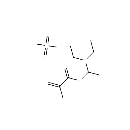 C=C(C)C(=O)OC(C)N(CC)CC.O=S(=O)(O)O